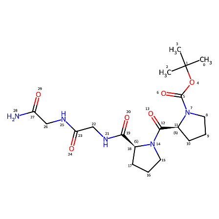 CC(C)(C)OC(=O)N1CCC[C@H]1C(=O)N1CCC[C@H]1C(=O)NCC(=O)NCC(N)=O